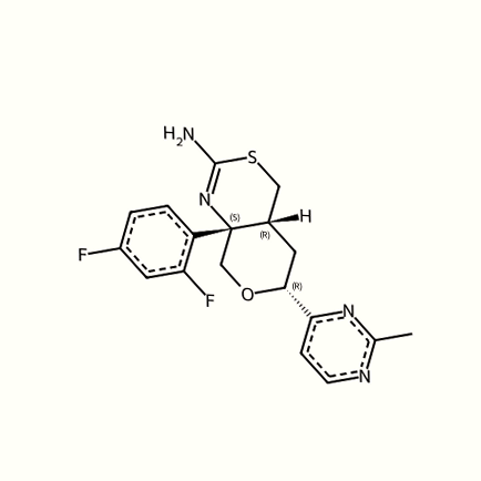 Cc1nccc([C@H]2C[C@H]3CSC(N)=N[C@@]3(c3ccc(F)cc3F)CO2)n1